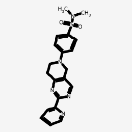 CN(C)S(=O)(=O)c1ccc(N2CCc3nc(-c4ccccn4)ncc3C2)cc1